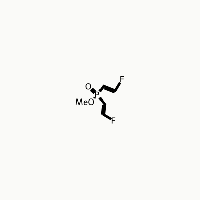 COP(=O)(/C=C/F)/C=C/F